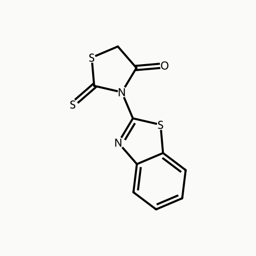 O=C1CSC(=S)N1c1nc2ccccc2s1